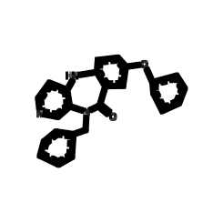 O=C1c2cc(Oc3ccccc3)ccc2Nc2ccncc2N1Cc1ccccc1